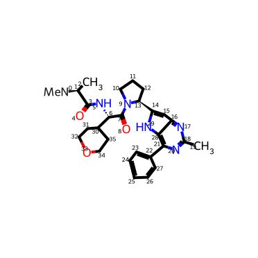 CN[C@@H](C)C(=O)N[C@H](C(=O)N1CCC[C@H]1c1cc2nc(C)nc(-c3ccccc3)c2[nH]1)C1CCOCC1